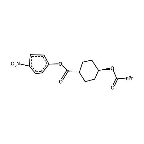 CCCC(=O)O[C@H]1CC[C@H](C(=O)Oc2ccc([N+](=O)[O-])cc2)CC1